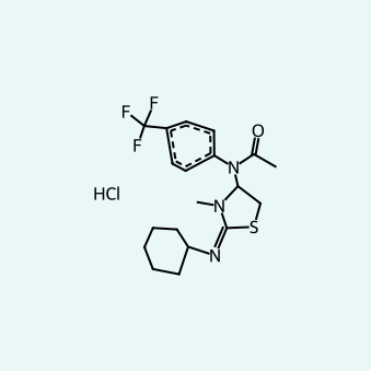 CC(=O)N(c1ccc(C(F)(F)F)cc1)C1CSC(=NC2CCCCC2)N1C.Cl